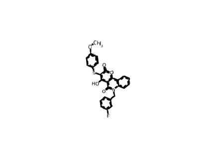 COc1ccc(Sc2c(O)c3c(=O)n(Cc4cccc(F)c4)c4ccccc4c3oc2=O)cc1